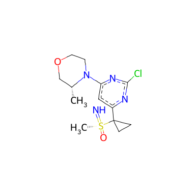 C[C@@H]1COCCN1c1cc(C2([S@](C)(=N)=O)CC2)nc(Cl)n1